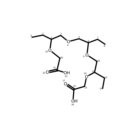 CCC(COCC(CC)OCC(CC)OCC(=O)O)OCC(=O)O